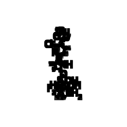 BC(O)(C(O)(O)COC1C=CN(c2ccc(C(=O)OC(C)(C)C)c(Cl)n2)N1)C1(C(F)(F)F)CC1